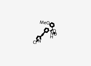 COc1cccc([C@H]2OC(=O)N[C@@H]2c2cccc(C#Cc3ccc(Cl)nc3)c2)c1